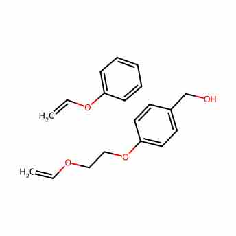 C=COCCOc1ccc(CO)cc1.C=COc1ccccc1